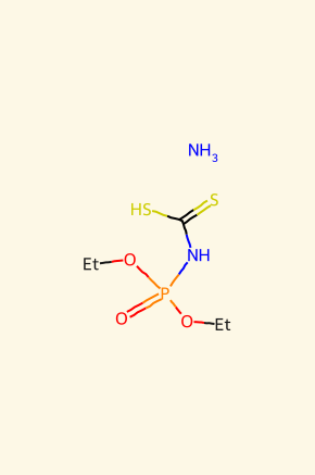 CCOP(=O)(NC(=S)S)OCC.N